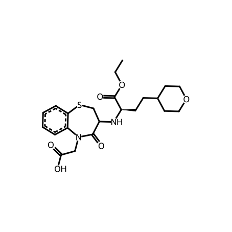 CCOC(=O)[C@@H](CCC1CCOCC1)NC1CSc2ccccc2N(CC(=O)O)C1=O